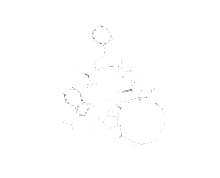 CC(C)n1c(O[C@@H]2C[C@H]3C(=O)N[C@]4(C(=O)NS(=O)(=O)N(C)C)C[C@H]4/C=C\CCCCC[C@H](C)C(=O)N3C2)nc2c(NC(=O)NCCc3ccccc3)cccc21